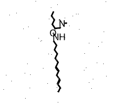 CC/C=C/C/C=C/CCCCCCNOC(CCCC)CN(C)C